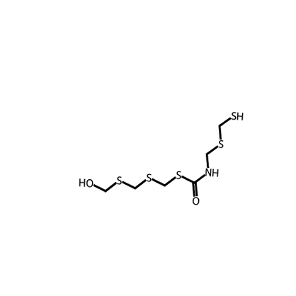 O=C(NCSCS)SCSCSCO